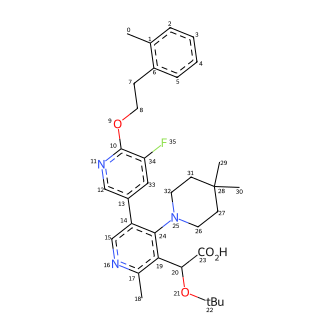 Cc1ccccc1CCOc1ncc(-c2cnc(C)c(C(OC(C)(C)C)C(=O)O)c2N2CCC(C)(C)CC2)cc1F